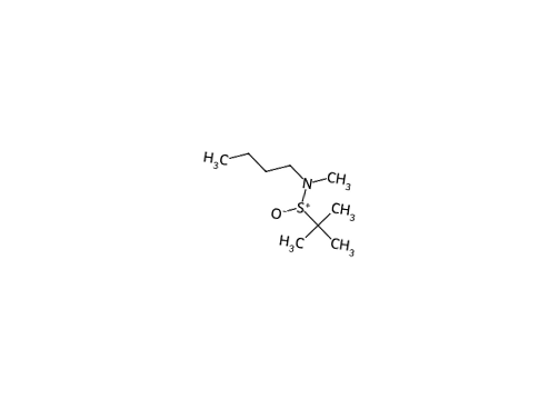 CCCCN(C)[S+]([O-])C(C)(C)C